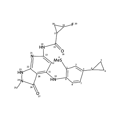 CSc1cc(C2CC2)ccc1Nc1cc(NC(=O)C2CC2F)nc2[nH]n(C)c(=O)c12